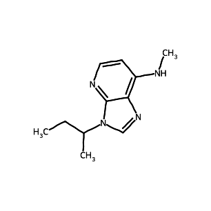 CCC(C)n1cnc2c(NC)ccnc21